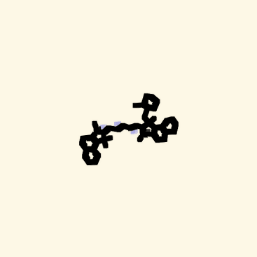 Cc1ccccc1CC1(C)C(/C=C/C=C/C=C2/N(C)c3ccc4ccccc4c3C2(C)C)=[N+](C)c2ccc3ccccc3c21